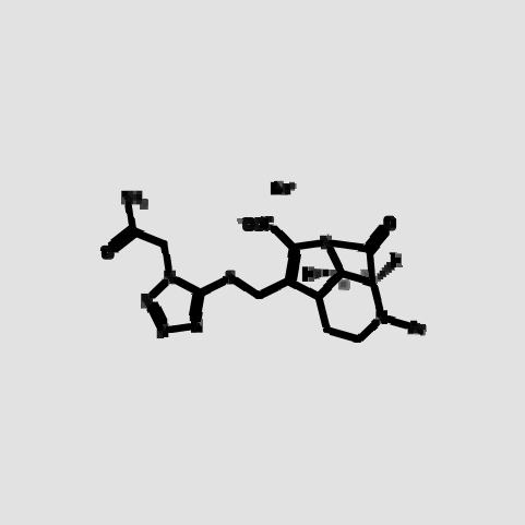 CC(=O)N1CCC2C(CSc3nnnn3CC(N)=O)=C(C(=O)[O-])N3C(=O)[C@@H]1[C@@H]23.[Na+]